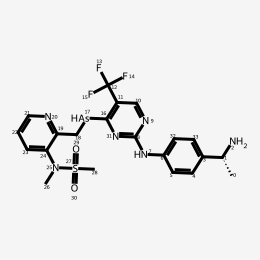 C[C@@H](N)c1ccc(Nc2ncc(C(F)(F)F)c([AsH]Cc3ncccc3N(C)S(C)(=O)=O)n2)cc1